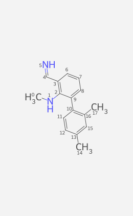 CNc1c(C=N)cccc1-c1ccc(C)cc1C